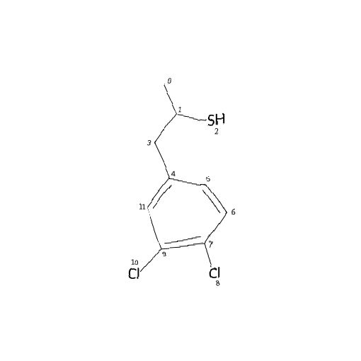 CC(S)Cc1ccc(Cl)c(Cl)c1